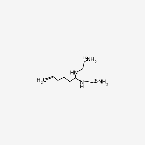 C=CCCCC(NCC[16NH2])NCC[16NH2]